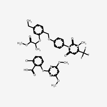 CCc1ccc(COc2ccc(-n3c(=O)cc(C(F)(F)F)n(C)c3=O)cc2)c(OC(C)C(=O)OC)c1.COc1cc(OC)nc(Sc2cccc(Cl)c2C(=O)O)n1